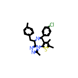 Cc1ccc(CC2N=C(c3ccc(Cl)cc3)c3c(sc(C)c3C)-n3c(C)nnc32)cc1